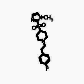 Cn1ccnc1S(=O)(=O)C1CCN(CCc2ccc(F)cc2)CC1